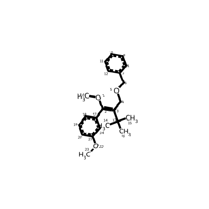 COC(=C(COCc1ccccc1)C(C)(C)C)c1cccc(OC)c1